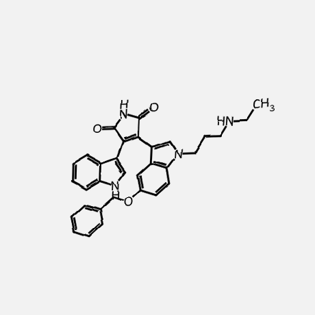 CCNCCCn1cc(C2=C(c3c[nH]c4ccccc34)C(=O)NC2=O)c2cc(OCc3ccccc3)ccc21